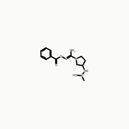 CB(O)NC1CCN(/C(N)=N/OC(=O)c2ccccc2)C1